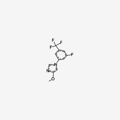 COc1cn(-c2cc(F)cc(C(F)(F)F)c2)cn1